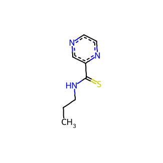 CCCNC(=S)c1cnccn1